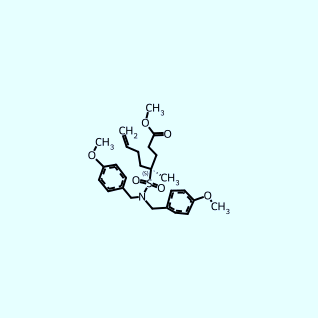 C=CCC[C@@](C)(CCC(=O)OC)S(=O)(=O)N(Cc1ccc(OC)cc1)Cc1ccc(OC)cc1